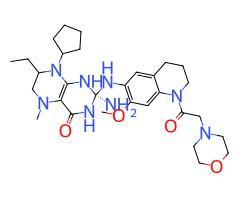 CCC1CN(C)C2=C(N[C@@](N)(Nc3cc4c(cc3OC)N(C(=O)CN3CCOCC3)CCC4)NC2=O)N1C1CCCC1